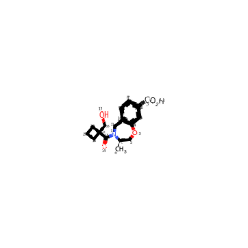 C[C@H]1COc2cc(C(=O)O)ccc2CN1C(=O)C1(CO)CCC1